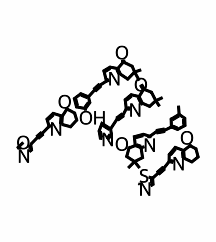 CC1(C)CC(=O)c2ccc(C#Cc3cccc(O)c3)nc2C1.CC1(C)CC(=O)c2ccc(C#Cc3cccnc3)nc2C1.Cc1cccc(C#Cc2ccc3c(n2)CC(C)(C)CC3=O)c1.O=C1CCCc2nc(C#Cc3cnco3)ccc21.O=C1CCCc2nc(C#Cc3cncs3)ccc21